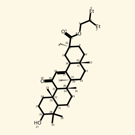 CCC(CC)COC(=O)[C@@]1(C)CC[C@]2(C)CC[C@]3(C)C(=CC(=O)C4[C@@]5(C)CCC(O)C(C)(C)C5CC[C@]43C)C2C1